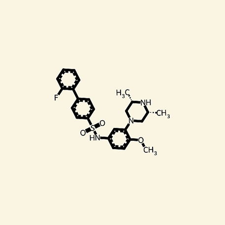 COc1ccc(NS(=O)(=O)c2ccc(-c3ccccc3F)cc2)cc1N1C[C@@H](C)N[C@@H](C)C1